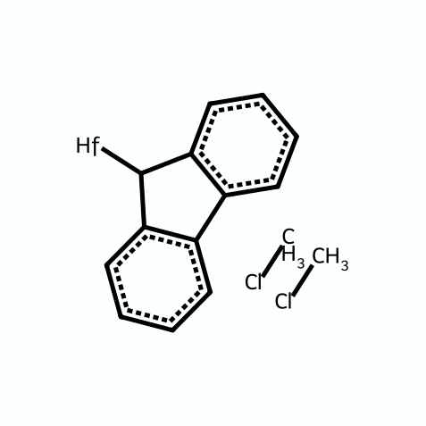 CCl.CCl.[Hf][CH]1c2ccccc2-c2ccccc21